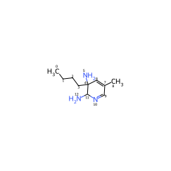 CCCCC1(N)C=C(C)C=NC1N